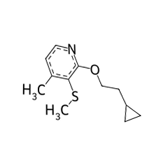 CSc1c(C)ccnc1OCCC1CC1